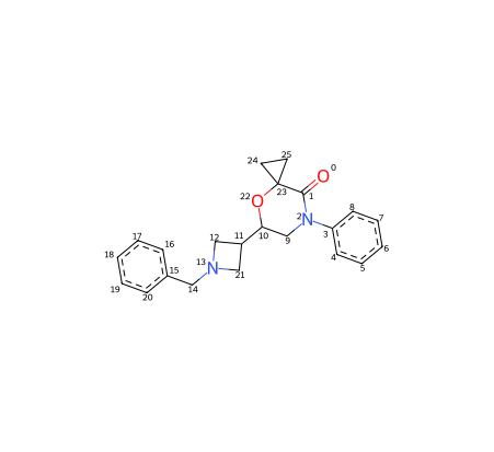 O=C1N(c2ccccc2)CC(C2CN(Cc3ccccc3)C2)OC12CC2